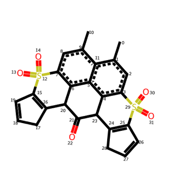 Cc1cc2c3c4c5c(cc(C)c14)S(=O)(=O)C1=C(CC=C1)C5C(=O)C3C1=C(C=CC1)S2(=O)=O